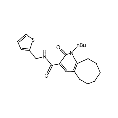 CCCCn1c2c(cc(C(=O)NCc3cccs3)c1=O)CCCCCC2